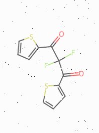 O=C(c1cccs1)C(F)(F)C(=O)c1cccs1